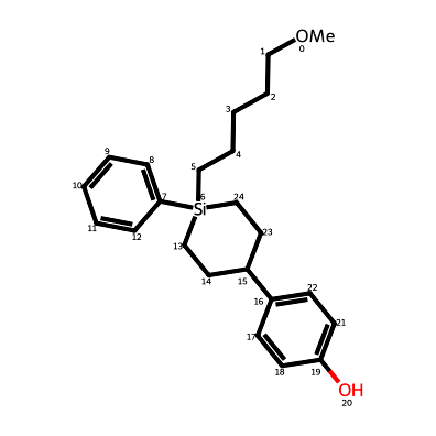 COCCCCC[Si]1(c2ccccc2)CCC(c2ccc(O)cc2)CC1